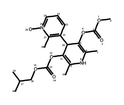 COC(=O)OC1=C(C)NC(C)=C(OC(=O)OCC(C)C)C1c1ccc[n+]([O-])c1C